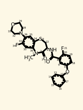 CN1C(=O)[C@@H](NC(=O)c2cc(Oc3ccccc3)ccc2F)CSc2cc(N3CCOCC3)c(F)cc21